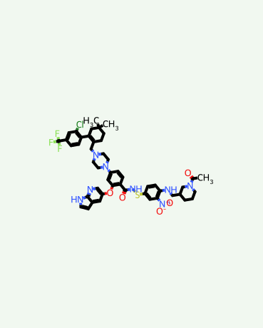 CC(=O)N1CCCC(CNc2ccc(SNC(=O)c3ccc(N4CCN(CC5=C(c6ccc(C(F)(F)F)cc6Cl)CC(C)(C)CC5)CC4)cc3Oc3cnc4[nH]ccc4c3)cc2[N+](=O)[O-])C1